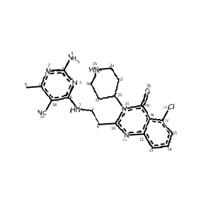 Cc1nc(N)nc(NCCc2nc3cccc(Cl)c3c(=O)n2C2CCNCC2)c1C#N